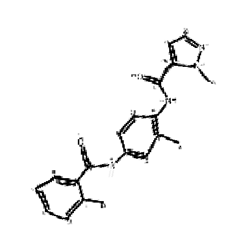 Cc1cc(NC(=O)c2ccccc2C)ccc1NC(=O)c1ccnn1C